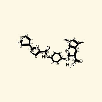 Cc1cn(C)c2nc(OC3CCC(NC(=O)c4csc(-c5ccncc5)n4)CC3)c(C(N)=O)cc12